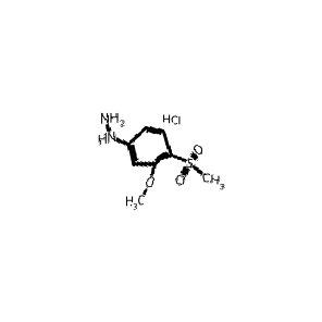 COc1cc(NN)ccc1S(C)(=O)=O.Cl